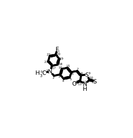 CN(Cc1ccc(C=C2SC(=S)NC2=O)cc1)c1ccc(F)cc1